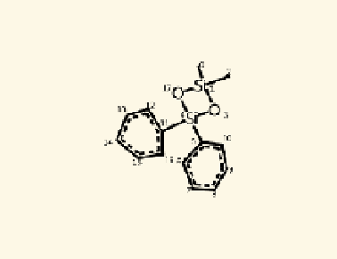 C[Si]1(C)O[Si](c2ccccc2)(c2ccccc2)O1